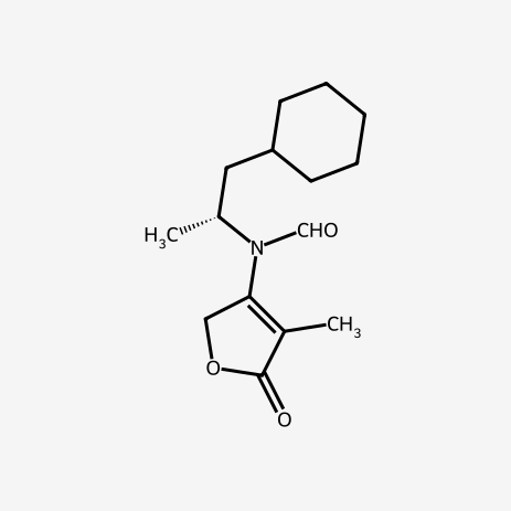 CC1=C(N(C=O)[C@H](C)CC2CCCCC2)COC1=O